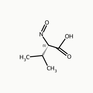 CC(C)[C@H](N=O)C(=O)O